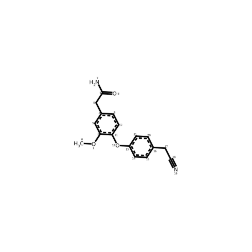 COc1cc(CC(N)=O)ccc1Oc1ccc(CC#N)cc1